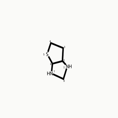 C1NC2CCSC2N1